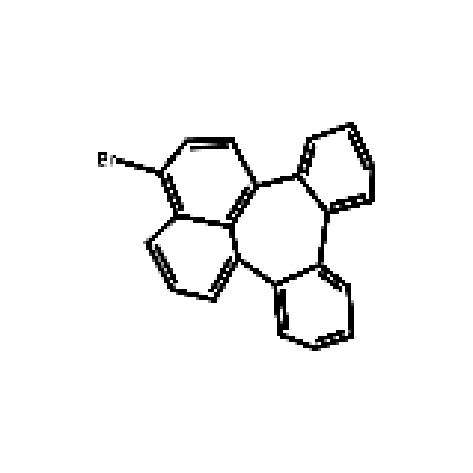 Brc1ccc2c3c(cccc13)-c1ccccc1-c1ccccc1-2